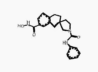 O=C(NO)c1ccc2c(c1)CC1(CC2)CCN(C(=O)Nc2ccccc2)C1